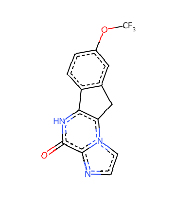 O=c1[nH]c2c(n3ccnc13)Cc1cc(OC(F)(F)F)ccc1-2